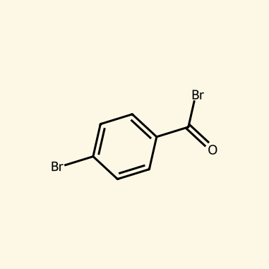 O=C(Br)c1ccc(Br)cc1